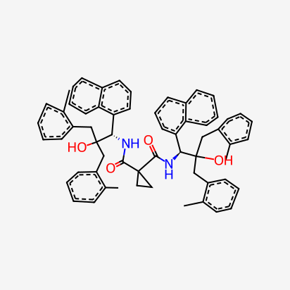 Cc1ccccc1CC(O)(Cc1ccccc1C)[C@@H](NC(=O)C1(C(=O)N[C@@H](c2cccc3ccccc23)C(O)(Cc2ccccc2C)Cc2ccccc2C)CC1)c1cccc2ccccc12